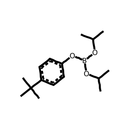 CC(C)OB(Oc1ccc(C(C)(C)C)cc1)OC(C)C